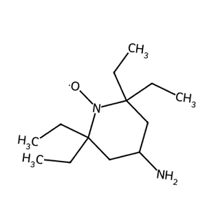 CCC1(CC)CC(N)CC(CC)(CC)N1[O]